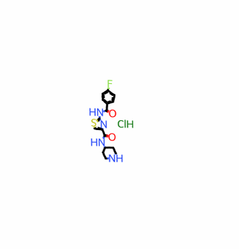 Cl.O=C(Nc1nc(C(=O)NC2CCNCC2)cs1)c1ccc(F)cc1